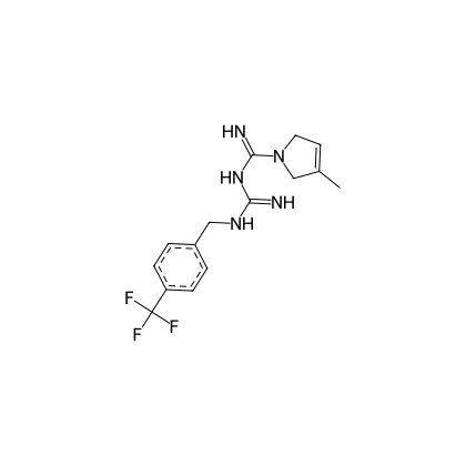 CC1=CCN(C(=N)NC(=N)NCc2ccc(C(F)(F)F)cc2)C1